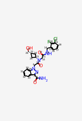 NC(=O)c1nn(CC(=O)N(CC(=O)NCc2cccc(Cl)c2F)[C@H]2C[C@@H](CO)C2)c2ccccc12